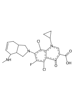 CNC1C=CCC2CN(c3c(F)c(Cl)c4c(=O)c(C(=O)O)cn(C5CC5)c4c3Cl)CC21